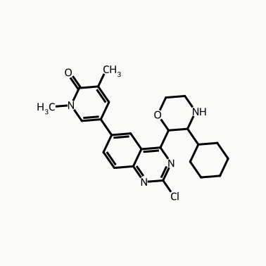 Cc1cc(-c2ccc3nc(Cl)nc(C4OCCNC4C4CCCCC4)c3c2)cn(C)c1=O